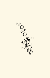 C[C@]12C=CC(=O)C=C1CC[C@@H]1[C@@H]2[C@@H](O)C[C@@]2(C)[C@H]1C[C@H]1O[C@@H](c3ccc(S(=O)(=O)c4ccc(N)cc4)cc3)O[C@]12C(=O)CO